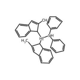 CC1=Cc2ccccc2[CH]1[Hf]([CH]1C(C)=Cc2ccccc21)[SiH](c1ccccc1)c1ccccc1